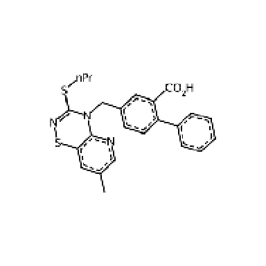 CCCSC1=NSc2cc(C)cnc2N1Cc1ccc(-c2ccccc2)c(C(=O)O)c1